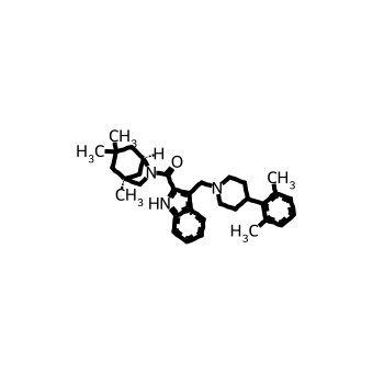 Cc1cccc(C)c1C1CCN(Cc2c(C(=O)N3C[C@]4(C)C[C@H]3CC(C)(C)C4)[nH]c3ccccc23)CC1